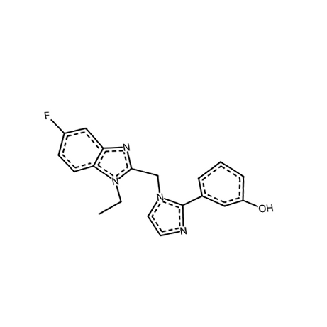 CCn1c(Cn2ccnc2-c2cccc(O)c2)nc2cc(F)ccc21